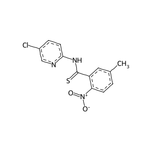 Cc1ccc([N+](=O)[O-])c(C(=S)Nc2ccc(Cl)cn2)c1